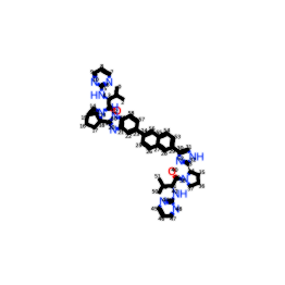 CC(C)[C@H](Nc1ncccn1)C(=O)N1CC2CCC1(c1nc3cc(-c4ccc5cc(-c6c[nH]c([C@@H]7CCCN7C(=O)[C@H](Nc7ncccn7)C(C)C)n6)ccc5c4)ccc3[nH]1)C2